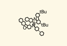 CC(C)(C)c1ccc2c(c1)c1cc(C(C)(C)C)cc3c1n2-c1cc2ccccc2c2c1B3N(c1ccc(-c3ccccc3)cc1)c1ccc3oc4cc5ccccc5cc4c3c1-2